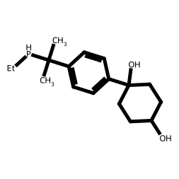 CCPC(C)(C)c1ccc(C2(O)CCC(O)CC2)cc1